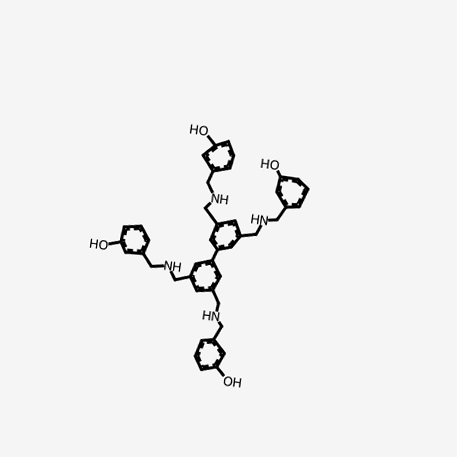 Oc1cccc(CNCc2cc(CNCc3cccc(O)c3)cc(-c3cc(CNCc4cccc(O)c4)cc(CNCc4cccc(O)c4)c3)c2)c1